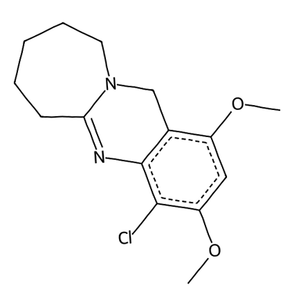 COc1cc(OC)c2c(c1Cl)N=C1CCCCCN1C2